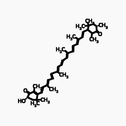 CC1=C(/C=C/C(C)=C/C=C/C(C)=C/C=C/C=C(C)/C=C/C=C(C)/C=C/C2C(C)C(=O)[C@@H](C)CC2(C)C)C(C)(C)C[C@H](O)C1=O